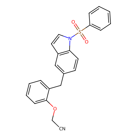 N#CCOc1ccccc1Cc1ccc2c(ccn2S(=O)(=O)c2ccccc2)c1